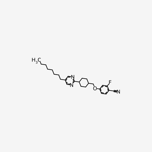 CCCCCCCCc1cnc(C2CCC(COc3ccc(C#N)c(F)c3)CC2)nc1